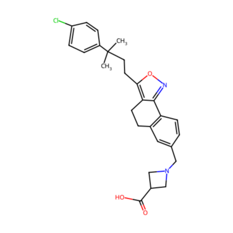 CC(C)(CCc1onc2c1CCc1cc(CN3CC(C(=O)O)C3)ccc1-2)c1ccc(Cl)cc1